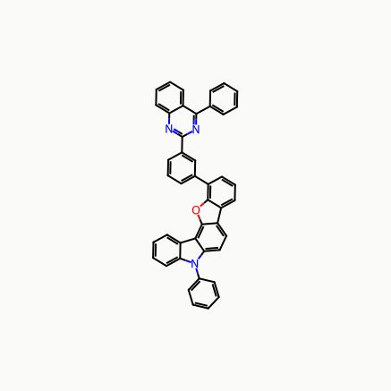 c1ccc(-c2nc(-c3cccc(-c4cccc5c4oc4c5ccc5c4c4ccccc4n5-c4ccccc4)c3)nc3ccccc23)cc1